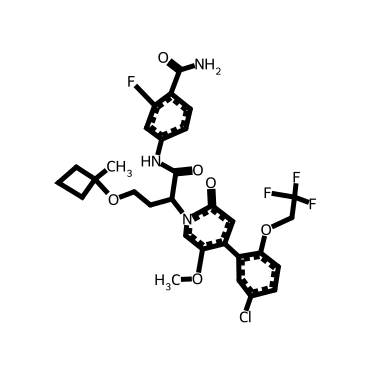 COc1cn(C(CCOC2(C)CCC2)C(=O)Nc2ccc(C(N)=O)c(F)c2)c(=O)cc1-c1cc(Cl)ccc1OCC(F)(F)F